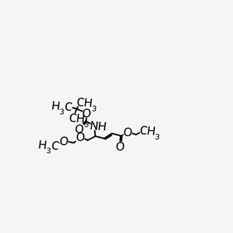 CCOC(=O)C=CC(COCOC)NC(=O)OC(C)(C)C